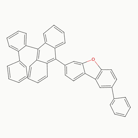 c1ccc(-c2ccc3oc4cc(-c5c6ccccc6c(-c6ccccc6-c6ccccc6)c6ccccc56)ccc4c3c2)cc1